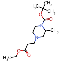 CCOC(=O)CCN1CCN(C(=O)OC(C)(C)C)[C@@H](C)C1